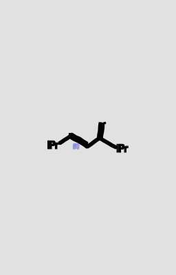 [CH]=C(/C=[C]/C(C)C)C(C)C